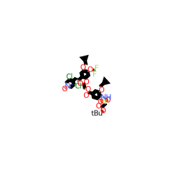 CC(C)(C)OC(=O)CS(=O)(=O)Nc1ccc(C(=O)OCC(=O)O[C@@H](Cc2c(Cl)c[n+]([O-])cc2Cl)c2ccc(OC(F)F)c(OCC3CC3)c2)cc1OCC1CC1